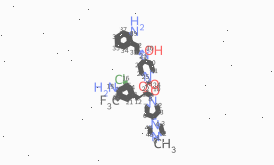 CN1CCN(C2CCN(C(=O)[C@@H](Cc3cc(Cl)c(N)c(C(F)(F)F)c3)OC(=O)N3CCC(N(O)CCc4ccccc4N)CC3)CC2)CC1